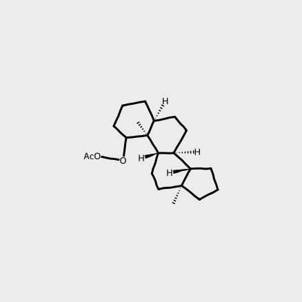 CC(=O)OOC1CCC[C@H]2CC[C@H]3[C@@H]4CCC[C@@]4(C)CC[C@@H]3[C@@]12C